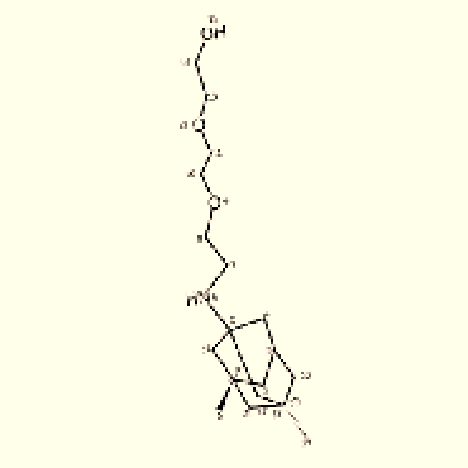 C[C@]12CC3CC(NCCOCCOCCO)(C1)C[C@@](C)(C3)C2